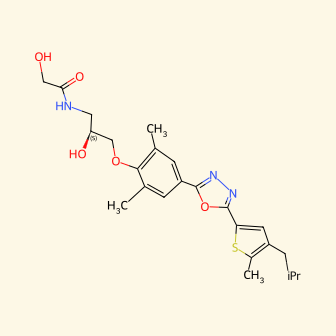 Cc1cc(-c2nnc(-c3cc(CC(C)C)c(C)s3)o2)cc(C)c1OC[C@@H](O)CNC(=O)CO